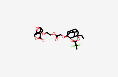 CCC1(OC(=O)C(C)(F)F)C2CC3CC1CC(OCC(=O)OCCOC1C4CC5C(=O)OC1C5O4)(C3)C2